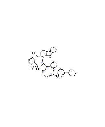 C=C(/C=C\C(=C)C1=c2/cccc/c2=C(\C2=C/c3c(ccc4c3oc3ccccc34)C(C)c3ccccc3C(C)(C)C2)/C=C/CC/C=C/1)C1=CC=CCC1